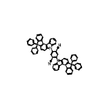 N#Cc1cc(-n2c3ccccc3c3c4c(ccc32)C(c2ccccc2)(c2ccccc2)c2ccccc2-4)c(C#N)cc1-n1c2ccccc2c2c3c(ccc21)C(c1ccccc1)(c1ccccc1)c1ccccc1-3